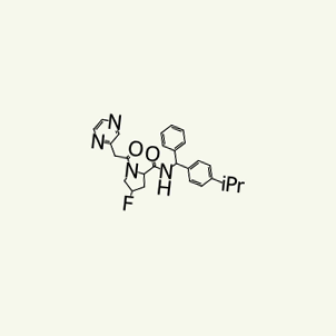 CC(C)c1ccc(C(NC(=O)C2CC(F)CN2C(=O)Cc2cnccn2)c2ccccc2)cc1